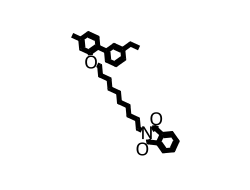 CCc1cccc(-c2ccc(C)cc2OCCCCCCCCCCN2C(=O)c3ccccc3C2=O)c1